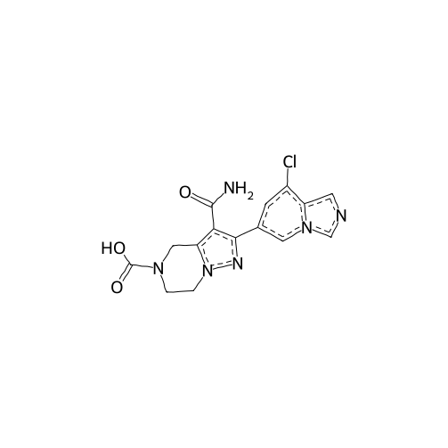 NC(=O)c1c(-c2cc(Cl)c3cncn3c2)nn2c1CN(C(=O)O)CC2